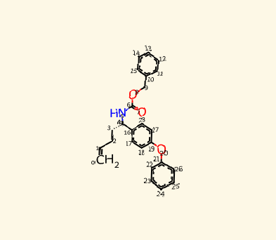 C=CCC[C@H](NC(=O)OCc1ccccc1)c1ccc(Oc2ccccc2)cc1